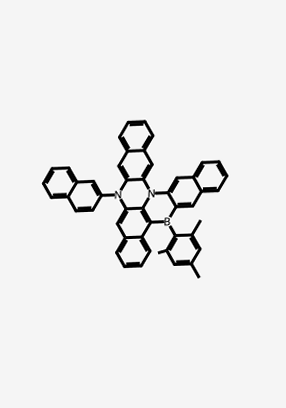 Cc1cc(C)c(B2c3cc4ccccc4cc3N3c4cc5ccccc5cc4N(c4ccc5ccccc5c4)c4cc5ccccc5c2c43)c(C)c1